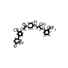 O=C1CCC(c2ccc(OCC(=O)N3CCC(NC[C@H](O)COc4ccccc4OC(F)(F)F)CC3)c(Cl)c2)=NN1